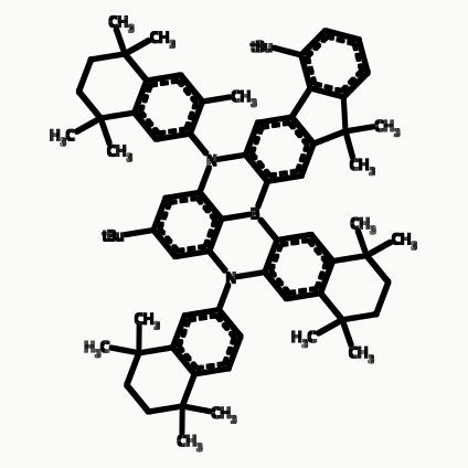 Cc1cc2c(cc1N1c3cc4c(cc3B3c5cc6c(cc5N(c5ccc7c(c5)C(C)(C)CCC7(C)C)c5cc(C(C)(C)C)cc1c53)C(C)(C)CCC6(C)C)C(C)(C)c1cccc(C(C)(C)C)c1-4)C(C)(C)CCC2(C)C